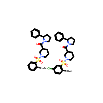 COc1ccc(Cl)cc1S(=O)(=O)N1CCCC(C(=O)N2CCCC2c2ccccc2)C1.COc1ccccc1S(=O)(=O)N1CCCC(C(=O)N2CCCC2c2ccccc2)C1